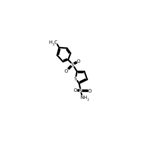 Cc1ccc(S(=O)(=O)c2ccc(S(N)(=O)=O)s2)cc1